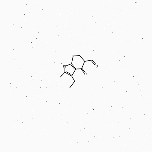 CCc1c(C)[nH]c2c1C(=O)C(C=O)CC2